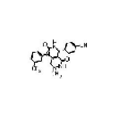 CN1CC2=C(C(=O)N1)[C@@H](c1ccc(C#N)cc1)NC(=O)N2c1cccc(C(F)(F)F)c1